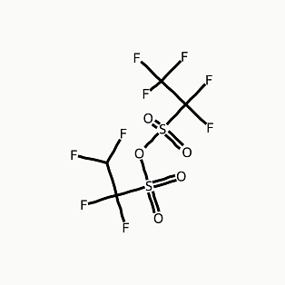 O=S(=O)(OS(=O)(=O)C(F)(F)C(F)(F)F)C(F)(F)C(F)F